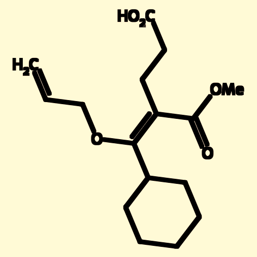 C=CCOC(=C(CCC(=O)O)C(=O)OC)C1CCCCC1